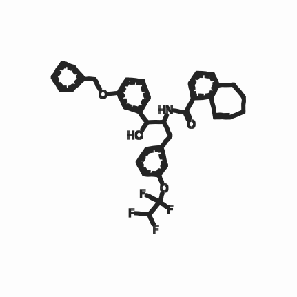 O=C(NC(Cc1cccc(OC(F)(F)C(F)F)c1)C(O)c1cccc(OCc2ccccc2)c1)c1cccc2c1C=CCCC2